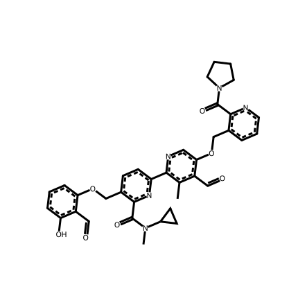 Cc1c(-c2ccc(COc3cccc(O)c3C=O)c(C(=O)N(C)C3CC3)n2)ncc(OCc2cccnc2C(=O)N2CCCC2)c1C=O